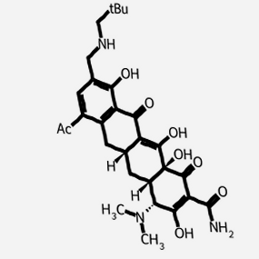 CC(=O)c1cc(CNCC(C)(C)C)c(O)c2c1C[C@H]1C[C@H]3[C@@H](N(C)C)C(O)=C(C(N)=O)C(=O)[C@@]3(O)C(O)=C1C2=O